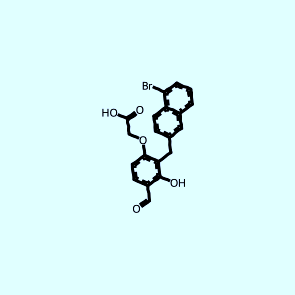 O=Cc1ccc(OCC(=O)O)c(Cc2ccc3c(Br)cccc3c2)c1O